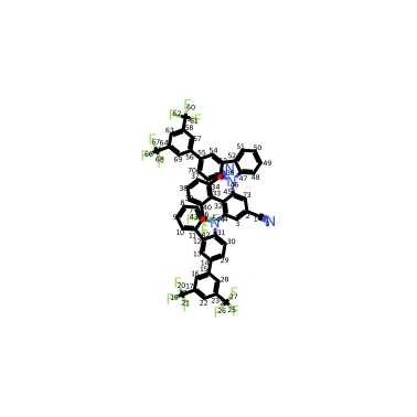 N#Cc1cc(-n2c3ccccc3c3cc(-c4cc(C(F)(F)F)cc(C(F)(F)F)c4)ccc32)c(-c2c(C#N)cccc2C(F)(F)F)c(-n2c3ccccc3c3cc(-c4cc(C(F)(F)F)cc(C(F)(F)F)c4)ccc32)c1